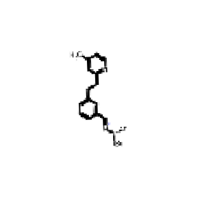 Cc1ccnc(CCc2cccc(/C=N/[S+]([O-])C(C)(C)C)c2)c1